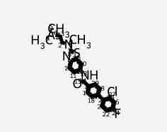 CN(CC[As](C)C)c1nc2ccc(NC(=O)c3ccc(-c4ccc(F)cc4Cl)cc3)cc2s1